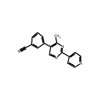 Cc1nc(-c2ccncc2)ncc1-c1cccc(C#N)c1